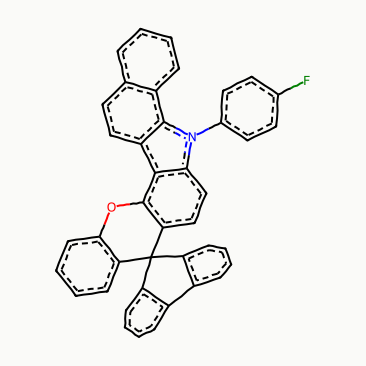 Fc1ccc(-n2c3ccc4c(c3c3ccc5ccccc5c32)Oc2ccccc2C42c3ccccc3-c3ccccc32)cc1